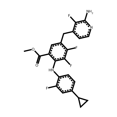 COC(=O)c1cc(Cc2ccnc(N)c2F)c(F)c(F)c1Nc1ccc(C2CC2)cc1F